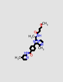 COC/C=C/C(=O)N[C@@H](C)c1nc(-c2ccc(C(=O)Nc3cc(C)ccn3)cc2)c2c(C)nccn12